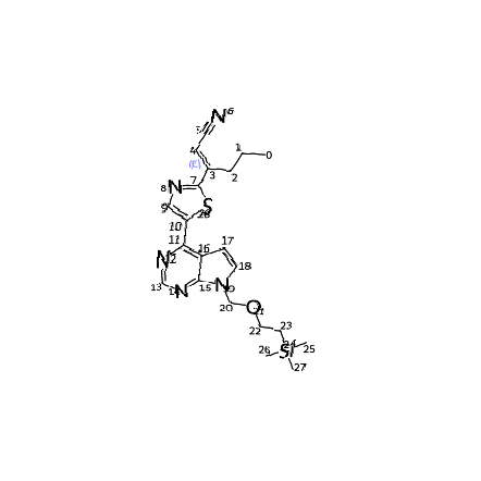 CCC/C(=C\C#N)c1ncc(-c2ncnc3c2ccn3COCC[Si](C)(C)C)s1